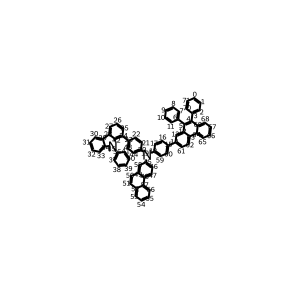 c1ccc(-c2c(-c3ccccc3)c3cc(-c4ccc(N(c5ccc(-c6cccc7c8ccccc8n(-c8ccccc8)c67)cc5)c5ccc6c(ccc7ccccc76)c5)cc4)ccc3c3ccccc23)cc1